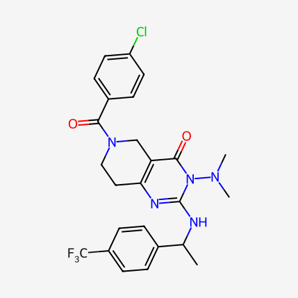 CC(Nc1nc2c(c(=O)n1N(C)C)CN(C(=O)c1ccc(Cl)cc1)CC2)c1ccc(C(F)(F)F)cc1